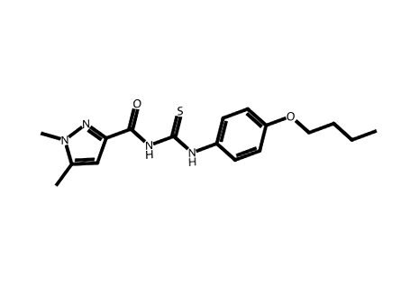 CCCCOc1ccc(NC(=S)NC(=O)c2cc(C)n(C)n2)cc1